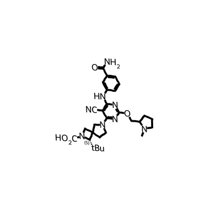 CN1CCCC1COc1nc(Nc2cccc(C(N)=O)c2)c(C#N)c(N2CCC3(C2)CN(C(=O)O)[C@H]3C(C)(C)C)n1